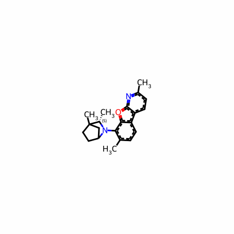 Cc1ccc2c(n1)oc1c(N3C4CCC(C)(C4)[C@@H]3C)c(C)ccc12